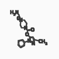 Cc1cc(OC(=O)N2CCN(OCN)CC2)n(-c2ccccc2)n1